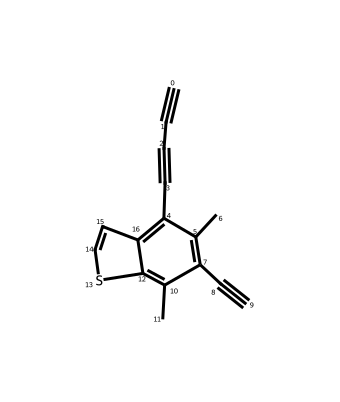 C#CC#Cc1c(C)c(C#C)c(C)c2sccc12